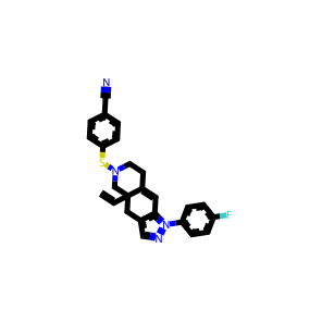 C=CC12Cc3cnn(-c4ccc(F)cc4)c3C=C1CCN(Sc1ccc(C#N)cc1)C2